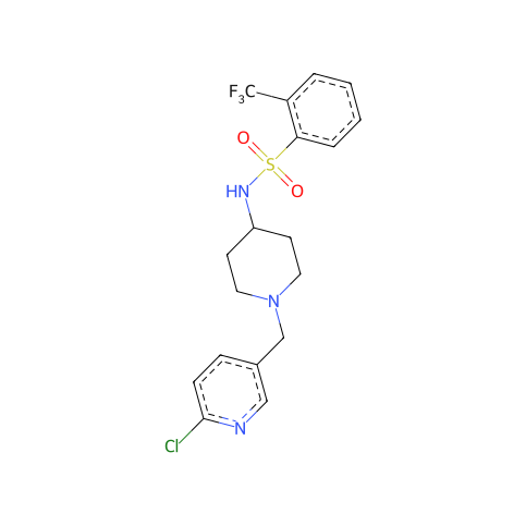 O=S(=O)(NC1CCN(Cc2ccc(Cl)nc2)CC1)c1ccccc1C(F)(F)F